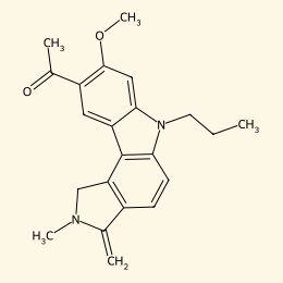 C=C1c2ccc3c(c2CN1C)c1cc(C(C)=O)c(OC)cc1n3CCC